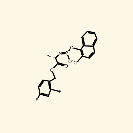 C[C@H](/N=[P+](\[O-])Oc1c(Cl)ccc2ccccc12)C(=O)OCc1ccc(F)cc1F